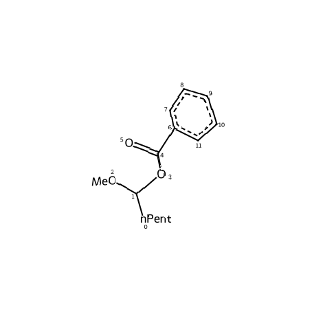 CCCCCC(OC)OC(=O)c1ccccc1